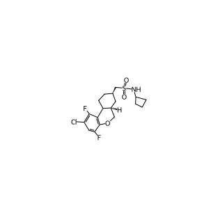 O=S(=O)(C[C@@H]1CCC2c3c(F)c(Cl)cc(F)c3OC[C@H]2C1)NC1CCC1